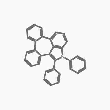 c1ccc(-c2c3c4c(cccc4n2-c2ccccc2)-c2ccccc2-c2ccccc2-3)cc1